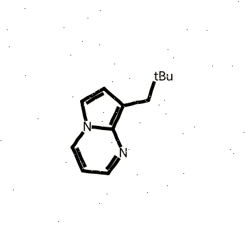 CC(C)(C)Cc1ccn2cccnc12